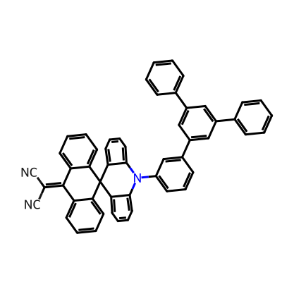 N#CC(C#N)=C1c2ccccc2C2(c3ccccc31)c1ccccc1N(c1cccc(-c3cc(-c4ccccc4)cc(-c4ccccc4)c3)c1)c1ccccc12